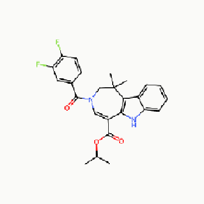 CC(C)OC(=O)C1=CN(C(=O)c2ccc(F)c(F)c2)CC(C)(C)c2c1[nH]c1ccccc21